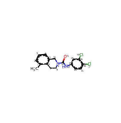 Cc1cccc2c1CCN(C(=O)Nc1ccc(Cl)c(Cl)c1)C2